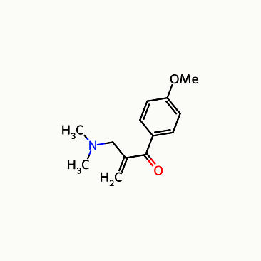 C=C(CN(C)C)C(=O)c1ccc(OC)cc1